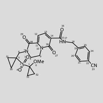 COC1(S(=O)(=O)C2(CN3CCn4c(ccc(C(=O)NCc5ccc(C#N)cc5)c4=O)C3=O)CC2)CC1